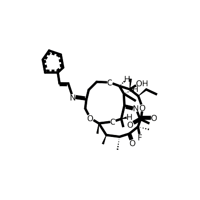 CC[C@H]1OC(=O)[C@@](C)(F)C(=O)[C@H](C)[C@@H](C)[C@@]2(C)C[C@@H](C)/C(=N\C(C)=O)[C@H](C)[C@@H](CCC/C(=N\C=C\c3ccccc3)CO2)[C@]1(C)O